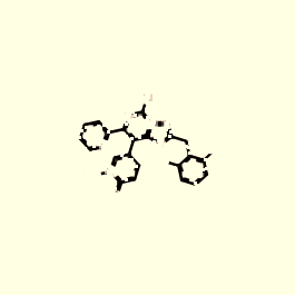 Cn1cc(-c2c(-c3ccccn3)nc(N)n3nc(Cc4c(F)cccc4F)nc23)ccc1=O